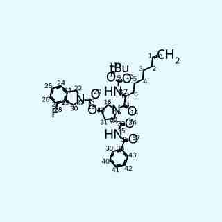 C=CCCCCC[C@H](NC(=O)OC(C)(C)C)C(=O)N1C[C@H](OC(=O)N2Cc3cccc(F)c3C2)C[C@H]1C(=O)NC(=O)c1ccccc1